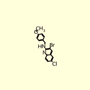 COc1ccc(CNc2nc3ccc(Cl)cc3cc2Br)cc1